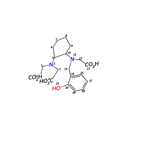 O=C(O)CN(CC(=O)O)C1CCCCC1N(CC(=O)O)Cc1ccccc1O